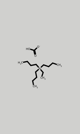 CCCC[N+](CC)(CCCC)CCCC.O=C([O-])O